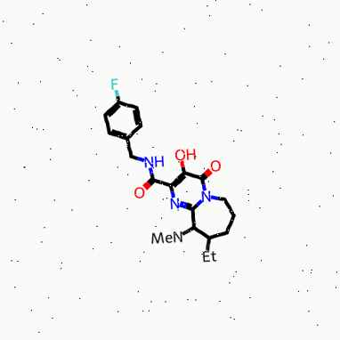 CCC1CCCn2c(nc(C(=O)NCc3ccc(F)cc3)c(O)c2=O)C1NC